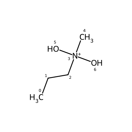 CCC[N+](C)(O)O